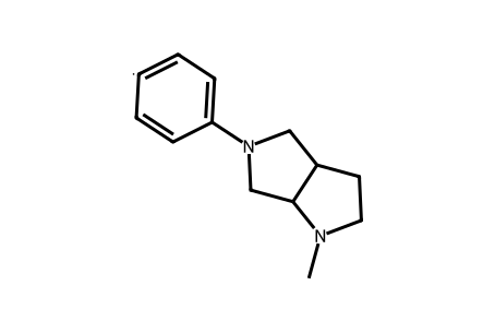 CN1CCC2CN(c3cc[c]cc3)CC21